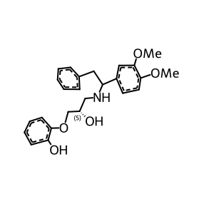 COc1ccc(C(Cc2ccccc2)NC[C@H](O)COc2ccccc2O)cc1OC